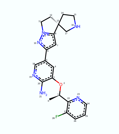 C[C@@H](Oc1cc(-c2cc3n(n2)CC[C@@]32CCNC2)cnc1N)c1ncccc1F